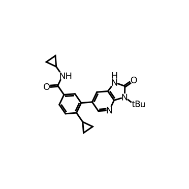 CC(C)(C)n1c(=O)[nH]c2cc(-c3cc(C(=O)NC4CC4)ccc3C3CC3)cnc21